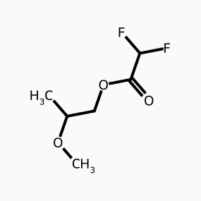 COC(C)COC(=O)C(F)F